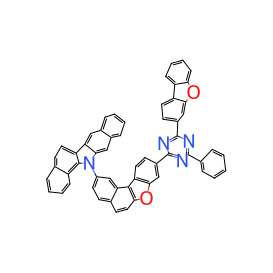 c1ccc(-c2nc(-c3ccc4c(c3)oc3ccccc34)nc(-c3ccc4c(c3)oc3ccc5ccc(-n6c7cc8ccccc8cc7c7ccc8ccccc8c76)cc5c34)n2)cc1